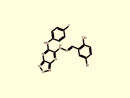 Oc1ccc(Br)cc1C=NNc1nc2nonc2nc1Nc1ccc(F)cc1